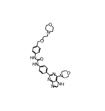 O=C(Nc1ccc(COCCN2CCOCC2)cc1)Nc1ccc(-c2nc(N3CCOCC3)c3[nH]cnc3n2)cc1